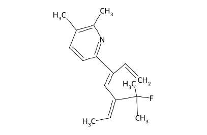 C=C/C(=C\C(=C/C)C(C)(C)F)c1ccc(C)c(C)n1